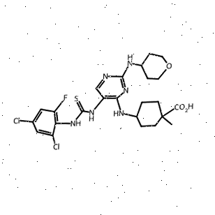 CC1(C(=O)O)CCC(Nc2nc(NC3CCOCC3)ncc2NC(=S)Nc2c(F)cc(Cl)cc2Cl)CC1